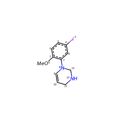 COc1ccc(I)cc1N1C=CCNC1